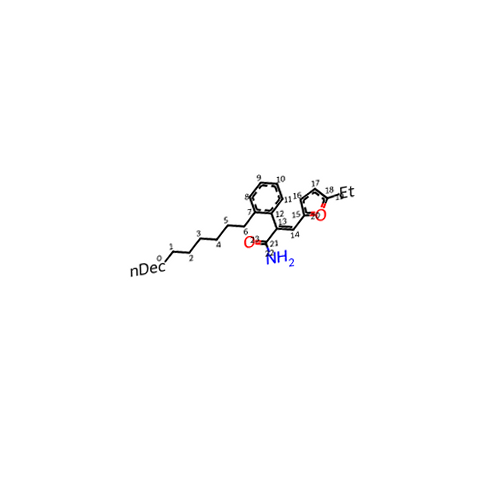 CCCCCCCCCCCCCCCCc1ccccc1/C(=C\c1ccc(CC)o1)C(N)=O